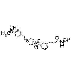 CN(C)c1ccc(CCN2CCN(S(=O)(=O)c3cccc(C=CC(=O)NO)c3)CC2)cc1